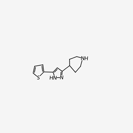 c1csc(-c2cc(C3CCNCC3)n[nH]2)c1